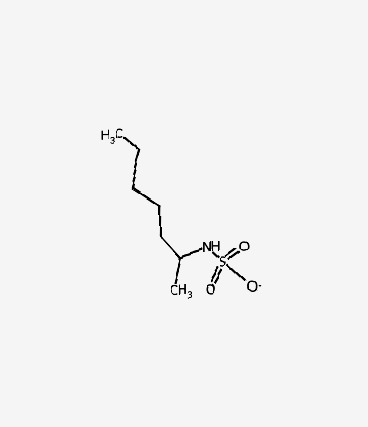 CCCCCC(C)NS([O])(=O)=O